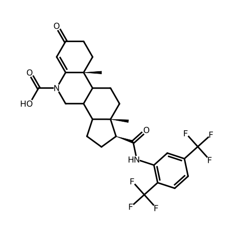 C[C@]12CCC(=O)C=C1N(C(=O)O)CC1C2CC[C@@]2(C)C1CC[C@@H]2C(=O)Nc1cc(C(F)(F)F)ccc1C(F)(F)F